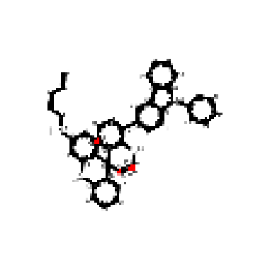 C=C/C=C\CNc1ccc2c(c1)Sc1ccccc1C21c2ccccc2Sc2c(-c3ccc4c(c3)c3ccccc3n4-c3ccccc3)cccc21